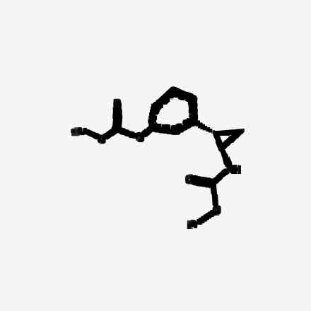 CC(C)OC(=O)N[C@@H]1C[C@H]1c1cccc(OC(=O)OC(C)(C)C)c1